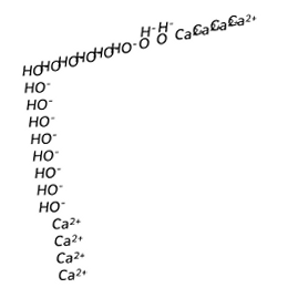 [Ca+2].[Ca+2].[Ca+2].[Ca+2].[Ca+2].[Ca+2].[Ca+2].[Ca+2].[OH-].[OH-].[OH-].[OH-].[OH-].[OH-].[OH-].[OH-].[OH-].[OH-].[OH-].[OH-].[OH-].[OH-].[OH-].[OH-]